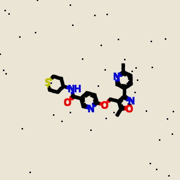 Cc1ccc(-c2noc(C)c2COc2ccc(C(=O)NC3CCSCC3)cn2)cn1